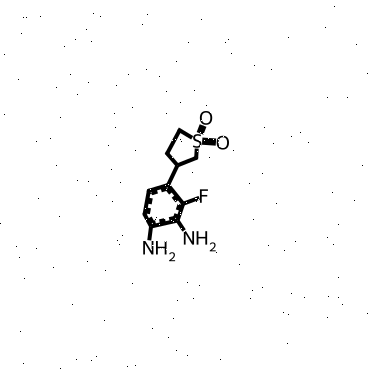 Nc1ccc(C2CCS(=O)(=O)C2)c(F)c1N